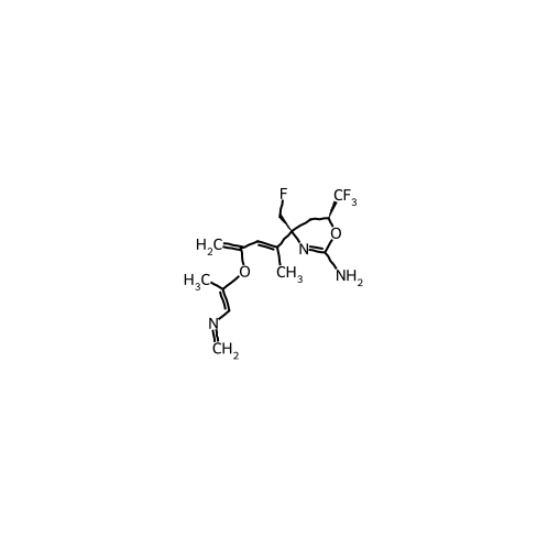 C=N/C=C(\C)OC(=C)/C=C(\C)[C@]1(CF)C[C@@H](C(F)(F)F)OC(N)=N1